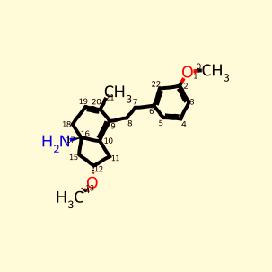 COc1cccc(CCC2=C3C[C@H](OC)C[C@]3(N)CC=C2C)c1